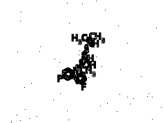 CC(C)NCCCNCC(C)(O)Cn1c2ccc(F)cc2c2cc(F)ccc21